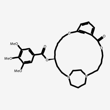 COc1cc(C(=O)O[C@H]2CCCOc3cccc(c3)C(=O)OCCCN3CCCN(CC2)CC3)cc(OC)c1OC